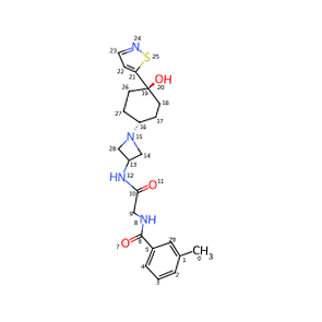 Cc1cccc(C(=O)NCC(=O)NC2CN([C@H]3CC[C@@](O)(c4ccns4)CC3)C2)c1